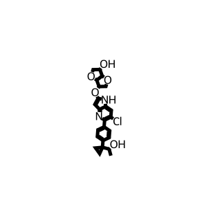 CC(O)C1(c2ccc(-c3nc4cc(OC5COC6C(O)COC56)[nH]c4cc3Cl)cc2)CC1